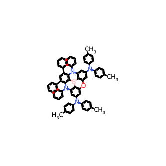 Cc1ccc(N(c2ccc(C)cc2)c2cc3c4c(c2)N(c2ccccc2)c2c(-c5ccccc5)cc(-c5ccccc5)c5c2B4c2c(cc(N(c4ccc(C)cc4)c4ccc(C)cc4)cc2N5c2ccccc2)O3)cc1